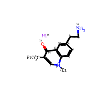 CCOC(=O)c1cn(CC)c2ccc(CCN)cc2c1=O.I